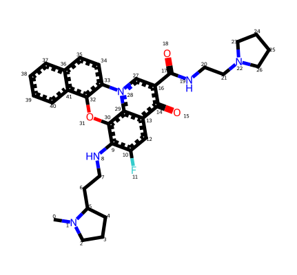 CN1CCCC1CCNc1c(F)cc2c(=O)c(C(=O)NCCN3CCCC3)cn3c2c1Oc1c-3ccc2ccccc12